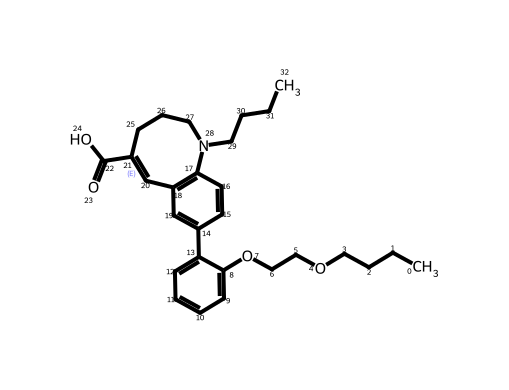 CCCCOCCOc1ccccc1-c1ccc2c(c1)/C=C(/C(=O)O)CCCN2CCCC